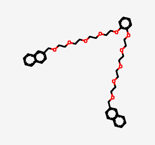 c1ccc(OCCOCCOCCOCCOCc2ccc3ccccc3c2)c(OCCOCCOCCOCCOCc2ccc3ccccc3c2)c1